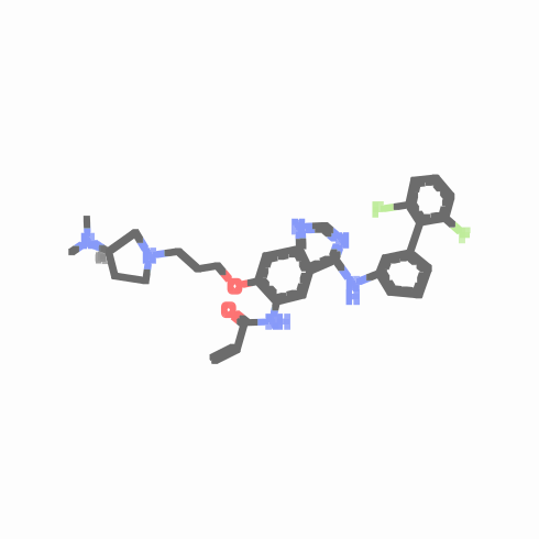 C=CC(=O)Nc1cc2c(Nc3cccc(-c4c(F)cccc4F)c3)ncnc2cc1OCCCN1CC[C@@H](N(C)C)C1